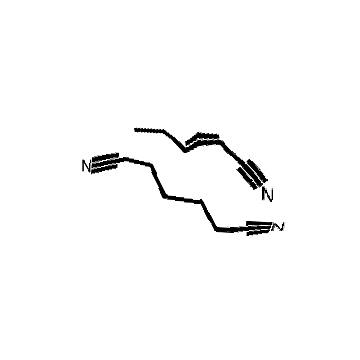 CCC=CC#N.N#CCCCCC#N